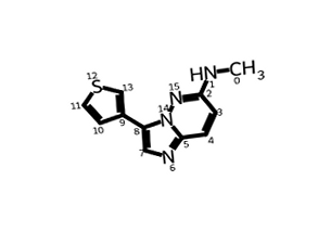 CNc1ccc2ncc(-c3ccsc3)n2n1